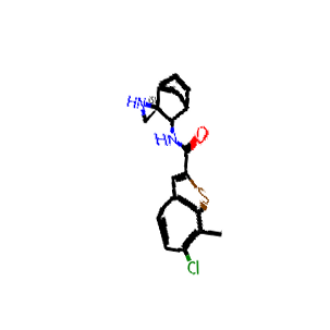 Cc1c(Cl)ccc2cc(C(=O)NC3C4CCC(CC4)[C@]34CN4)sc12